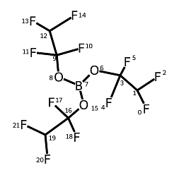 FC(F)C(F)(F)OB(OC(F)(F)C(F)F)OC(F)(F)C(F)F